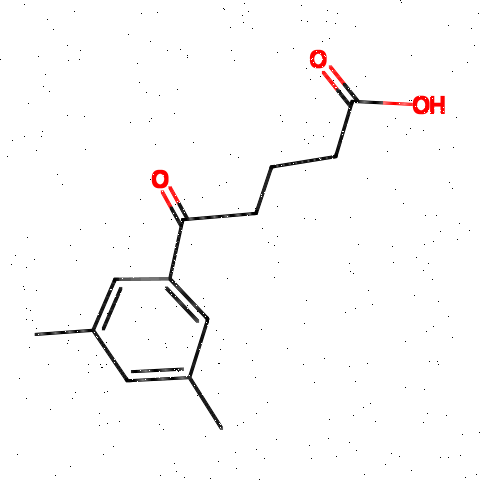 Cc1cc(C)cc(C(=O)CCCC(=O)O)c1